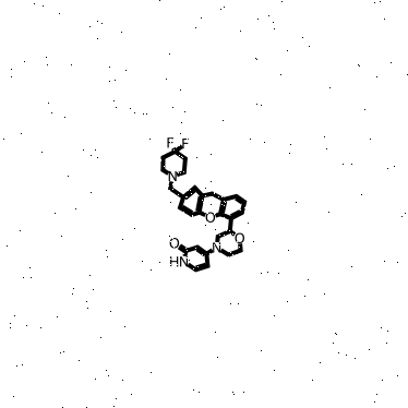 O=c1cc(N2CCOC(c3cccc4c3Oc3ccc(CN5CCC(F)(F)CC5)cc3C4)C2)cc[nH]1